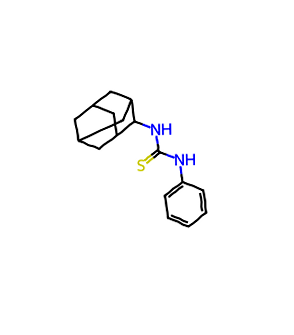 S=C(Nc1ccccc1)NC1C2CC3CC(C2)CC1C3